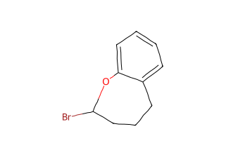 BrC1CCCc2ccccc2O1